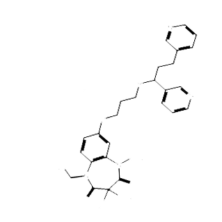 CCN1C(=O)C(C)(C)C(=O)N(C)c2cc(OCCCNC(CCc3cccnc3)c3cccnc3)ccc21.Cl.Cl.Cl